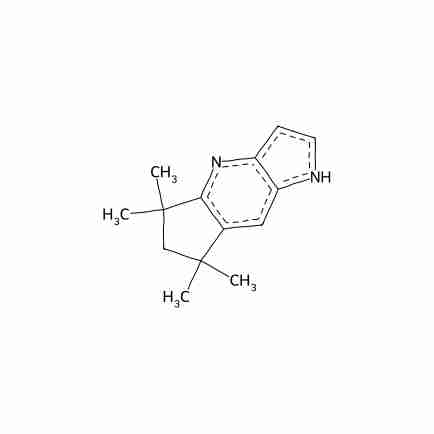 CC1(C)CC(C)(C)c2nc3cc[nH]c3cc21